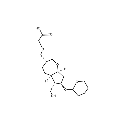 O=C(O)COC[C@H]1CC[C@@H]2[C@@H](CO)[C@H](OC3CCCCO3)C[C@@H]2OC1